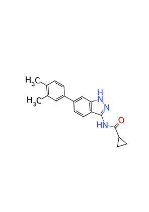 Cc1ccc(-c2ccc3c(NC(=O)C4CC4)n[nH]c3c2)cc1C